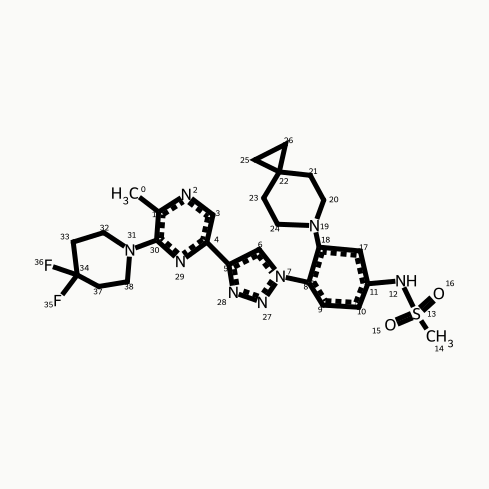 Cc1ncc(-c2cn(-c3ccc(NS(C)(=O)=O)cc3N3CCC4(CC3)CC4)nn2)nc1N1CCC(F)(F)CC1